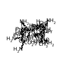 CC(C)C[C@H](NC(=O)[C@H](Cc1c[nH]cn1)NC(=O)[C@H](CCC(N)=O)NC(=O)[C@H](C)N)C(=O)N[C@@H](CCCCN)C(=O)N[C@@H](C)C(=O)N[C@H](C(=O)N[C@@H](CO)C(=O)N[C@@H](CCCCN)C(=O)N[C@@H](CCCCN)C(=O)N[C@H](C(=O)N[C@@H](CC(C)C)C(=O)N[C@@H](CCCCN)C(=O)N[C@@H](CCCCN)C(=O)O)C(C)C)C(C)C